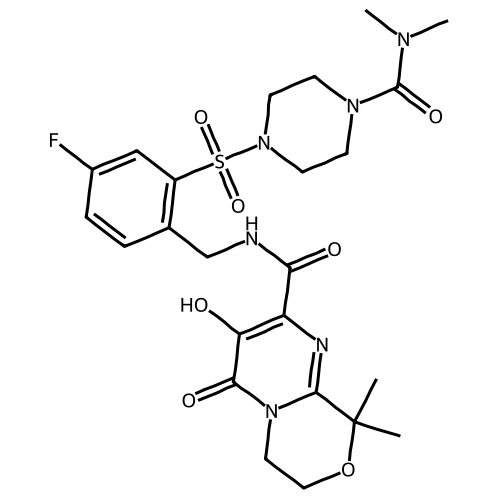 CN(C)C(=O)N1CCN(S(=O)(=O)c2cc(F)ccc2CNC(=O)c2nc3n(c(=O)c2O)CCOC3(C)C)CC1